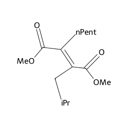 CCCCCC(C(=O)OC)=C(CC(C)C)C(=O)OC